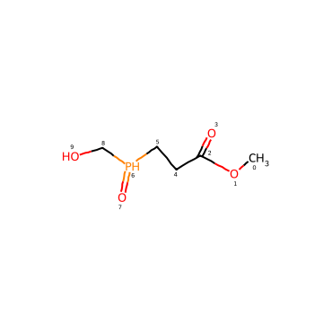 COC(=O)CC[PH](=O)CO